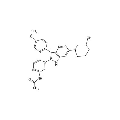 COc1ccc(-c2c(-c3ccnc(NC(C)=O)c3)[nH]c3cc(N4CCCC(O)C4)cnc23)nc1